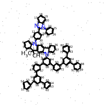 CC1(C)c2ccccc2N(c2ccc(-c3nc4ccccc4n3-c3ccccc3)cc2)c2cc3c4ccccc4n(-c4cc(-c5cccc(-c6cc(-c7ccccc7)cc(-c7ccccc7)c6)c5)cc(-c5cccc(-c6cc(-c7ccccc7)cc(-c7ccccc7)c6)c5)c4)c3cc21